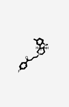 Cc1ccc2c(c1)[C@@H]1CN(CCCC(=O)c3ccc(F)cc3)CC[C@H]1N2C